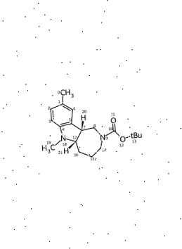 Cc1ccc2c(c1)[C@@H]1CN(C(=O)OC(C)(C)C)CCC[C@@H]1N2C